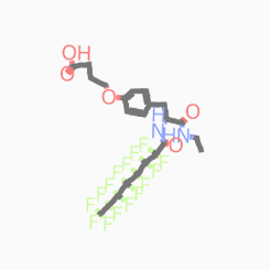 CCNC(=O)C(Cc1ccc(OCCCC(=O)O)cc1)NC(=O)C(F)(F)C(F)(F)C(F)(F)C(F)(F)C(F)(F)C(F)(F)C(F)(F)F